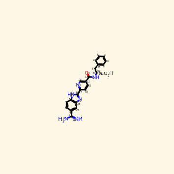 N=C(N)c1ccc2[nH]c(-c3ccc(C(=O)N[C@@H](Cc4ccccc4)C(=O)O)cn3)nc2c1